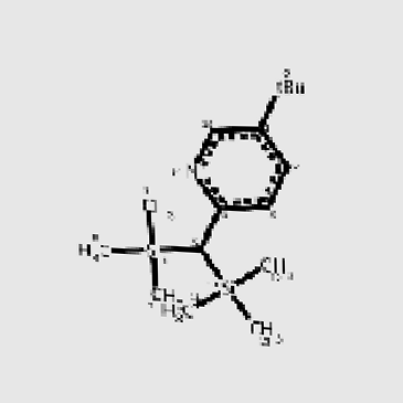 CC(C)(C)c1ccc(C([Si](C)(C)C)[Si](C)(C)C)nc1